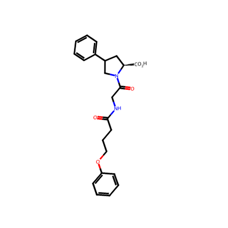 O=C(CCCOc1ccccc1)NCC(=O)N1CC(c2ccccc2)C[C@H]1C(=O)O